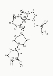 NC(=O)C[C@H]1CCc2sc3ncnc(O[C@H]4CC[C@H](N5CCNC(=O)C5)CC4)c3c21